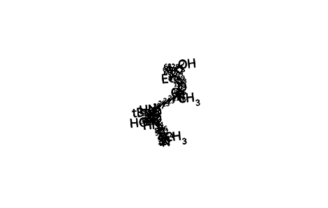 CCC(=C(c1ccc(O)cc1)c1ccc(OCCN(C)C(=O)CCCCCCCCC(=O)N[C@H](C(=O)N2C[C@H](O)C[C@H]2C(=O)NCc2ccc(-c3scnc3C)cc2)C(C)(C)C)cc1)c1ccccc1